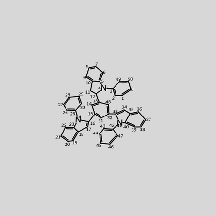 c1ccc(N2c3ccccc3CC2c2cc(-c3cc4ccccc4n3-c3ccccc3)cc(-c3cc4ccccc4n3-c3ccccc3)c2)cc1